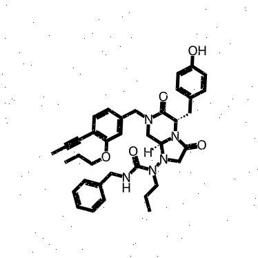 CC#Cc1ccc(CN2C[C@H]3N(C(=O)CN3N(CCC)C(=O)NCc3ccccc3)[C@@H](Cc3ccc(O)cc3)C2=O)cc1OCCC